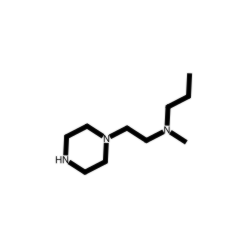 CCCN(C)CCN1CCNCC1